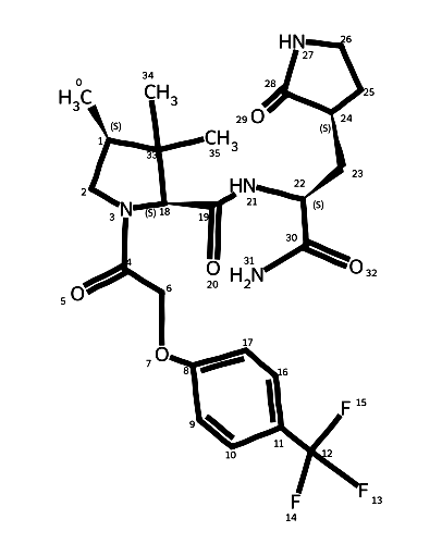 C[C@@H]1CN(C(=O)COc2ccc(C(F)(F)F)cc2)[C@H](C(=O)N[C@@H](C[C@@H]2CCNC2=O)C(N)=O)C1(C)C